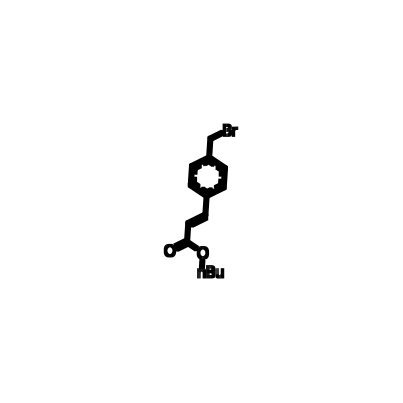 CCCCOC(=O)C=Cc1ccc(CBr)cc1